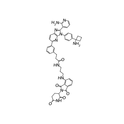 Nc1ncccc1-c1nc2ccc(-c3cccc(CCC(=O)NCCCNc4cccc5c4C(=O)N(C4CCC(=O)NC4=O)C5=O)c3)nc2n1-c1ccc(C2(N)CCC2)cc1